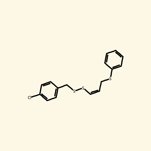 Clc1ccc(CSS/C=C\CSc2ccccc2)cc1